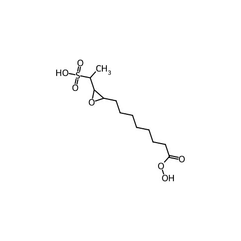 CC(C1OC1CCCCCCCC(=O)OO)S(=O)(=O)O